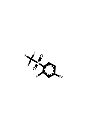 O=S(=O)(c1ccc(Br)cc1F)C(F)(F)F